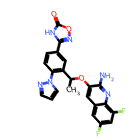 CC(Oc1cc2cc(F)cc(F)c2nc1N)c1cc(-c2noc(=O)[nH]2)ccc1-n1cccn1